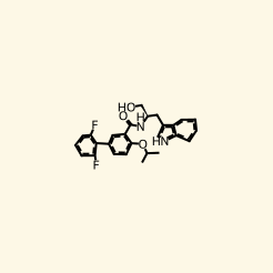 CC(C)Oc1ccc(-c2c(F)cccc2F)cc1C(=O)N[C@@H](CO)Cc1c[nH]c2ccccc12